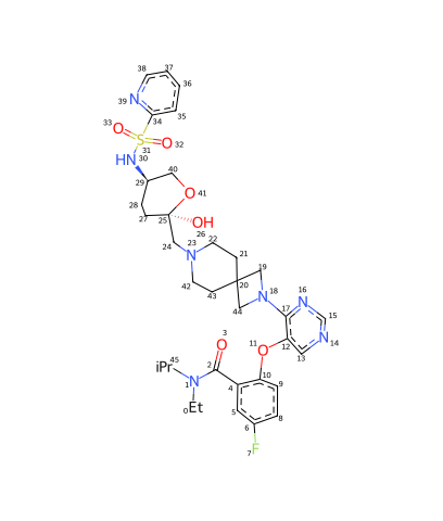 CCN(C(=O)c1cc(F)ccc1Oc1cncnc1N1CC2(CCN(C[C@@]3(O)CC[C@@H](NS(=O)(=O)c4ccccn4)CO3)CC2)C1)C(C)C